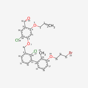 C=CCOc1cc(OCc2cccc(-c3cccc(OCCCBr)c3C)c2Cl)c(Cl)cc1C=O